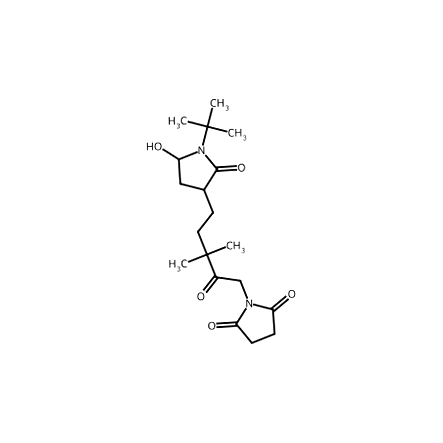 CC(C)(CCC1CC(O)N(C(C)(C)C)C1=O)C(=O)CN1C(=O)CCC1=O